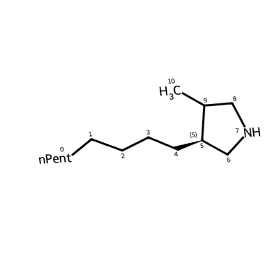 CCCCCCCCC[C@@H]1CNCC1C